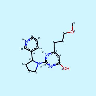 COCCCc1cc(O)nc(N2CCCC2c2cccnc2)n1